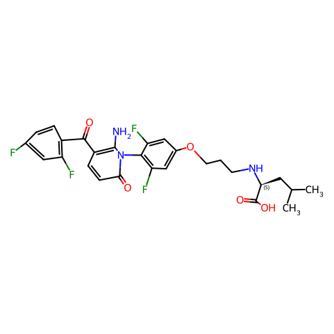 CC(C)C[C@H](NCCCOc1cc(F)c(-n2c(N)c(C(=O)c3ccc(F)cc3F)ccc2=O)c(F)c1)C(=O)O